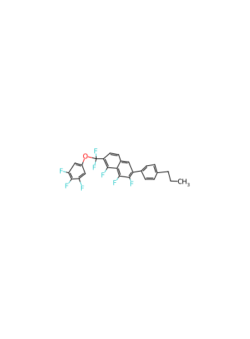 CCCc1ccc(-c2cc3ccc(C(F)(F)Oc4cc(F)c(F)c(F)c4)c(F)c3c(F)c2F)cc1